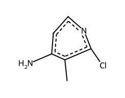 Cc1c(N)ccnc1Cl